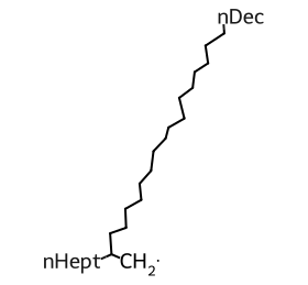 [CH2]C(CCCCCCC)CCCCCCCCCCCCCCCCCCCCCCCCCC